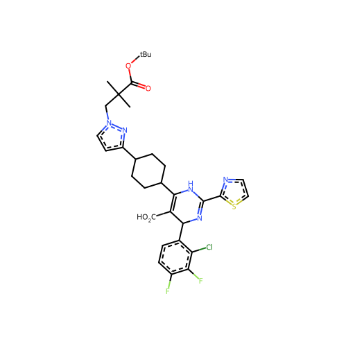 CC(C)(C)OC(=O)C(C)(C)Cn1ccc(C2CCC(C3=C(C(=O)O)C(c4ccc(F)c(F)c4Cl)N=C(c4nccs4)N3)CC2)n1